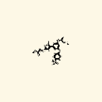 COCC(C)Oc1cc(Oc2ccc(S(C)(=O)=O)cc2)cc(-c2cc(OCC(=O)OC)n[nH]2)c1